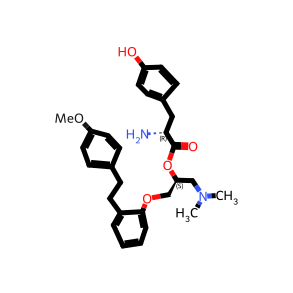 COc1ccc(CCc2ccccc2OC[C@H](CN(C)C)OC(=O)[C@H](N)Cc2ccc(O)cc2)cc1